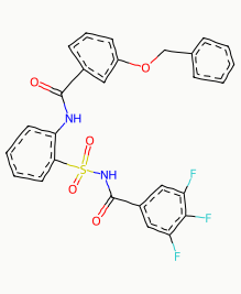 O=C(Nc1ccccc1S(=O)(=O)NC(=O)c1cc(F)c(F)c(F)c1)c1cccc(OCc2ccccc2)c1